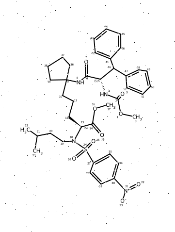 COC(=O)N[C@H](C(=O)NC1(CCC[C@@H](C(=O)OC)N(CCC(C)C)S(=O)(=O)c2ccc([N+](=O)[O-])cc2)CCCC1)C(c1ccccc1)c1ccccc1